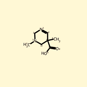 CN1CN=CC(C)(C(=O)O)C1